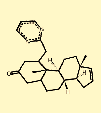 C[C@]12C(CC[C@@H]3[C@@H]1CC[C@]1(C)C=CC[C@@H]31)CC(=O)CC2Cc1ncccn1